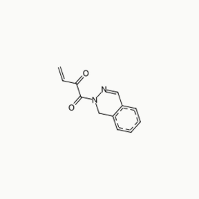 C=CC(=O)C(=O)N1Cc2ccccc2C=N1